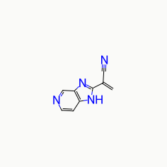 C=C(C#N)c1nc2cnccc2[nH]1